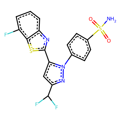 NS(=O)(=O)c1ccc(-n2nc(C(F)F)cc2-c2nc3cccc(F)c3s2)cc1